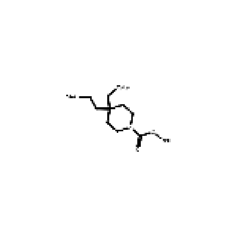 COCCC1(COC)CCN(C(=O)OC(C)(C)C)CC1